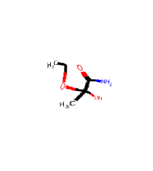 CCOC(C)(O)C(N)=O